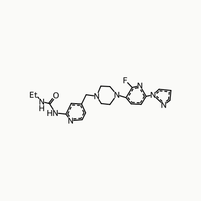 CCNC(=O)Nc1cc(CN2CCN(c3ccc(-n4cccn4)nc3F)CC2)ccn1